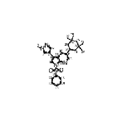 Cn1cc(-c2cn(S(=O)(=O)c3ccccc3)c3ncc(C4CC(C)(C)CC(C)(C)C4)cc23)cn1